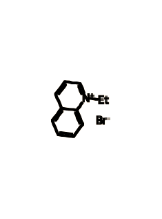 CC[n+]1cccc2ccccc21.[Br-]